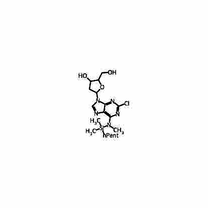 CCCCC[Si](C)(C)N(C)c1nc(Cl)nc2c1ncn2C1CC(O)C(CO)O1